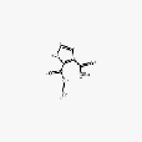 CC(C)COC(=O)c1ccoc1C(=O)OC(C)C